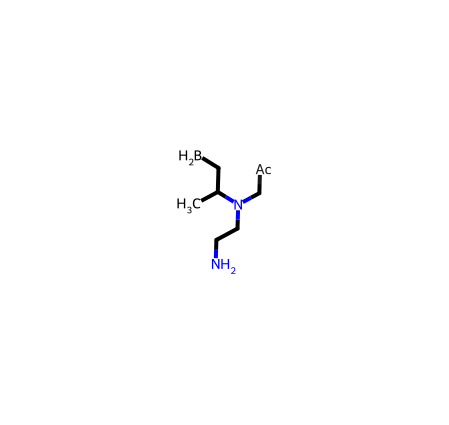 BCC(C)N(CCN)CC(C)=O